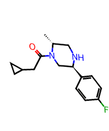 C[C@@H]1CN[C@@H](c2ccc(F)cc2)CN1C(=O)CC1CC1